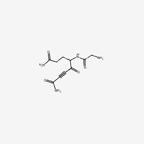 NCC(=O)NC(CCC(N)=O)C(=O)C#CC(N)=O